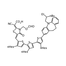 CCCCCCc1cc(-c2sc(-c3sc(-c4ccc5c(c4)CCc4ccccc4N5CC(CC)CCCC)cc3CCCCCC)cc2CCCCCC)sc1/C=c1/s/c(=C(\C#N)C(=O)O)n(COC=O)c1=O